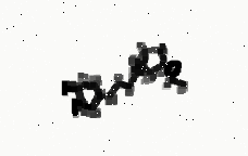 CCOC1CC2CC(CCCc3ccc(F)c(F)c3)C1C2